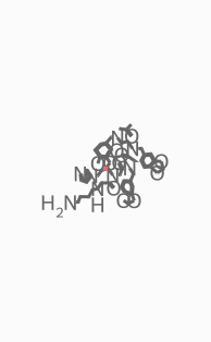 CC(=O)CN(Cc1ccc2c(c1)OCO2)C(=O)CN(Cc1ccc2c(c1)OCO2)C(=O)CN(Cc1ccc2c(c1)OCO2)C(=O)CN(CCCn1ccnc1)C(=O)CNCCCCN